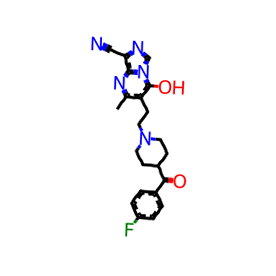 Cc1nc2c(C#N)ncn2c(O)c1CCN1CCC(C(=O)c2ccc(F)cc2)CC1